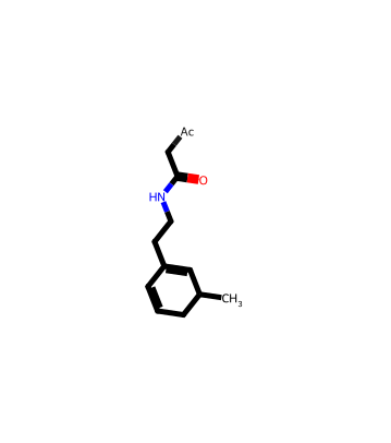 CC(=O)CC(=O)NCCC1=CC(C)CC=C1